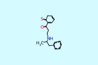 CC(Cc1ccccc1)NCCC(=O)C1=CC=CCC1=S